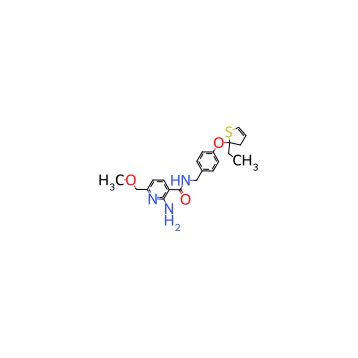 CCC1(Oc2ccc(CNC(=O)c3ccc(COC)nc3N)cc2)CC=CS1